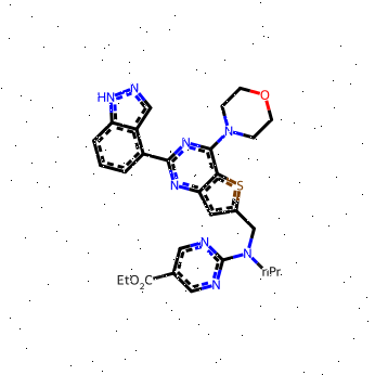 CCCN(Cc1cc2nc(-c3cccc4[nH]ncc34)nc(N3CCOCC3)c2s1)c1ncc(C(=O)OCC)cn1